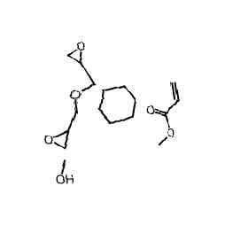 C(OCC1CO1)C1CO1.C1CCCCC1.C=CC(=O)OC.CO